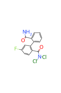 NC(=O)c1ccccc1-c1cc(F)ccc1C(=O)N(Cl)Cl